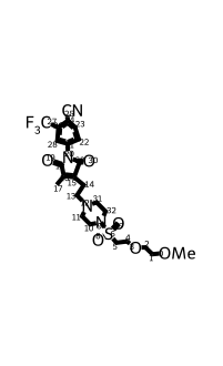 COCCOCCS(=O)(=O)N1CCN(CCC2=C(C)C(=O)N(c3ccc(C#N)c(C(F)(F)F)c3)C2=O)CC1